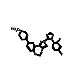 O=C(O)N1CC=C(c2ccc3c(c2)-c2nn(-c4ncnn4-c4ccc(F)cc4F)cc2CCO3)CC1